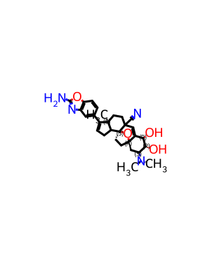 CN(C)[C@H]1C[C@@]23CC[C@]4(O2)C2CC=C(c5ccc6oc(N)nc6c5)[C@@]2(C)CCC4(C#N)C=C3[C@@H](O)[C@@H]1O